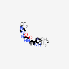 C=C/C=C\c1c(CC(CCC)NC(=O)c2cnc(N3CCN(CC(F)(F)F)CC3)o2)c[nH]c1C